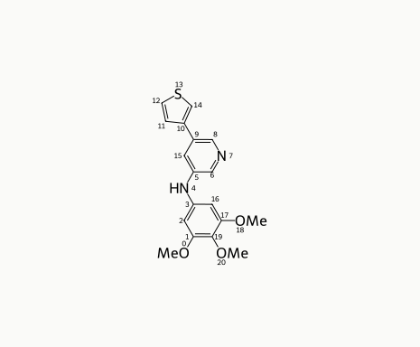 COc1cc(Nc2cncc(-c3ccsc3)c2)cc(OC)c1OC